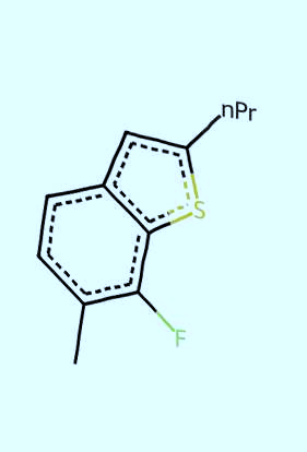 CCCc1cc2ccc(C)c(F)c2s1